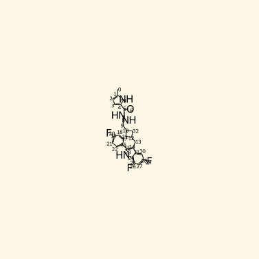 Cc1ccc(C(=O)NNCC2CC(Cc3c(-c4ccc(F)cc4)[nH]c4c(F)cc(F)cc34)C2)[nH]1